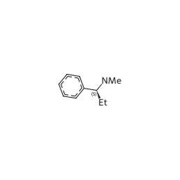 CC[C@H](NC)c1ccccc1